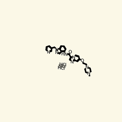 CN1CCN(CCOc2ccn3c(C(=O)Nc4cccc5c4cnn5Cc4cccnc4)cnc3c2)CC1.Cl.Cl.Cl